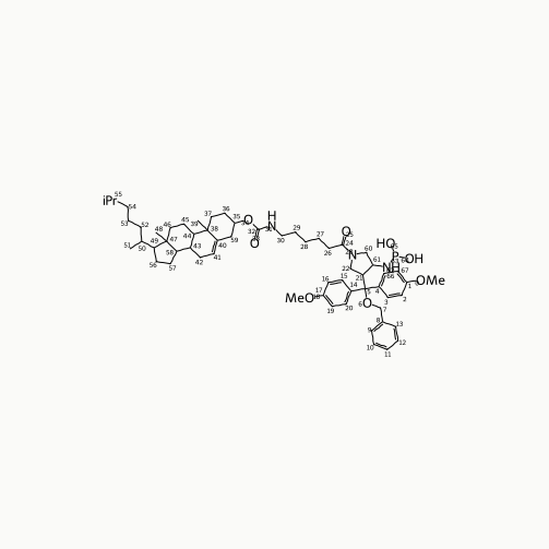 COc1ccc(C(OCc2ccccc2)(c2ccc(OC)cc2)C2CN(C(=O)CCCCCNC(=O)OC3CCC4(C)C(=CCC5C4CCC4(C)C(C(C)CCCC(C)C)CCC54)C3)CC2NP(O)O)cc1